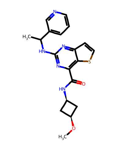 CO[C@H]1C[C@@H](NC(=O)c2nc(NC(C)c3cccnc3)nc3ccsc23)C1